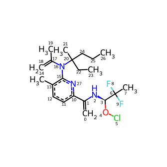 C=C(N[C@H](OCl)C(C)(F)F)c1ccc(C)c(N(C(=C)C)C(C)(CC)CCC)n1